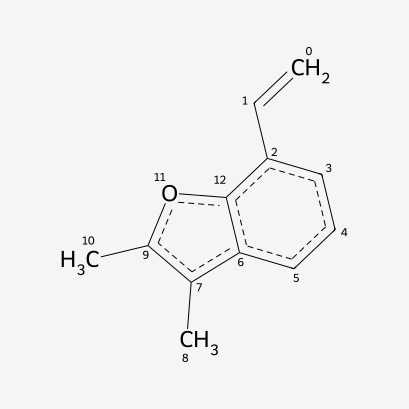 C=Cc1cccc2c(C)c(C)oc12